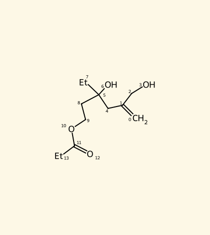 C=C(CO)CC(O)(CC)CCOC(=O)CC